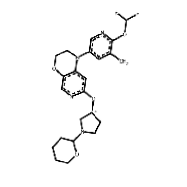 Cc1cc(N2CCOc3cnc(O[C@H]4CCN(C5C[CH]CCO5)C4)cc32)cnc1OC(F)F